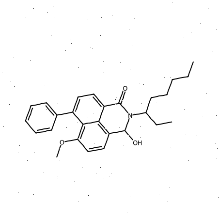 CCCCCC(CC)N1C(=O)c2ccc(-c3ccccc3)c3c(OC)ccc(c23)C1O